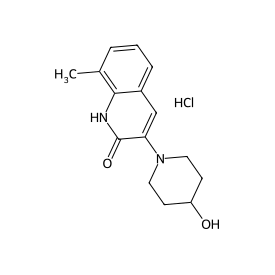 Cc1cccc2cc(N3CCC(O)CC3)c(=O)[nH]c12.Cl